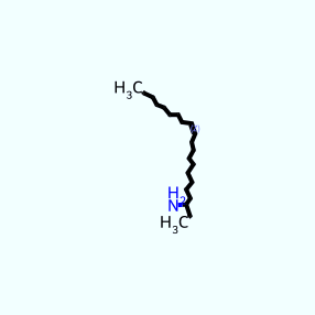 CCCCCCCC/C=C\CCCCCCCCC(N)CC